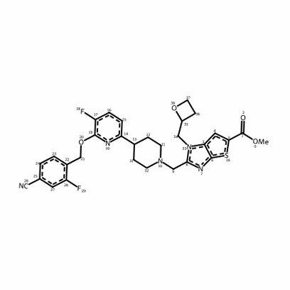 COC(=O)c1cc2c(nc(CN3CCC(c4ccc(F)c(OCc5ccc(C#N)cc5F)n4)CC3)n2CC2CCO2)s1